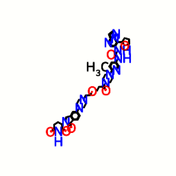 Cc1cc(NC(=O)Nc2cnc3ccnn3c2C2CCCO2)cnc1N1CCN(C(=O)CCOCCN2CCN(c3ccc4c(c3)CN(C3CCC(=O)NC3=O)C4=O)CC2)CC1